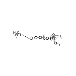 C=C(C)COCCCCCC[C@H]1CC[C@H](c2ccc(-c3ccc(C(=O)Oc4ccc(C5O[C@@H](C(=O)OCC)[C@H](C(=O)OCC)O5)cc4)cc3)cc2)CC1